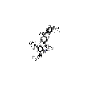 C=Nc1cc(N2CCOCC2)cc(O[C@H]2CC[C@@H](Nc3ccc(C)cn3)CC2)c1/N=C\C